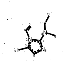 C=Cn1c(I)cnc1N(C)CC